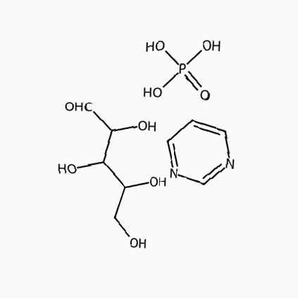 O=CC(O)C(O)C(O)CO.O=P(O)(O)O.c1cncnc1